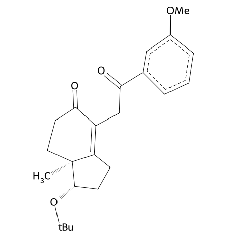 COc1cccc(C(=O)CC2=C3CC[C@H](OC(C)(C)C)[C@@]3(C)CCC2=O)c1